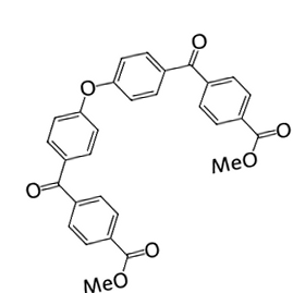 COC(=O)c1ccc(C(=O)c2ccc(Oc3ccc(C(=O)c4ccc(C(=O)OC)cc4)cc3)cc2)cc1